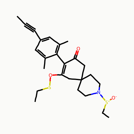 CC#Cc1cc(C)c(C2=C(OSCC)CC3(CCN([S+]([O-])CC)CC3)CC2=O)c(C)c1